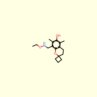 CCONCc1c(C)c(O)c(C)c2c1OC1(CCC1)CC2